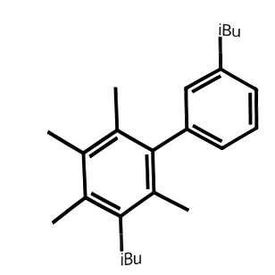 CCC(C)c1cccc(-c2c(C)c(C)c(C)c(C(C)CC)c2C)c1